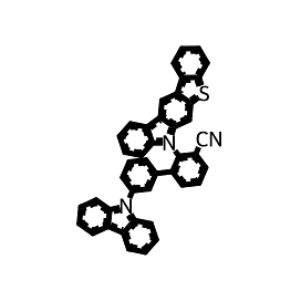 N#Cc1cccc(-c2cccc(-n3c4ccccc4c4ccccc43)c2)c1-n1c2ccccc2c2cc3c(cc21)sc1ccccc13